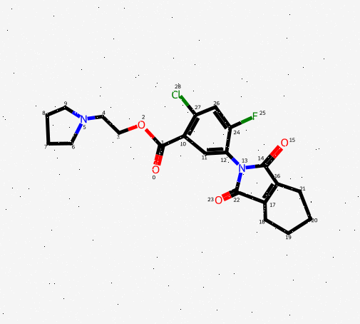 O=C(OCCN1CCCC1)c1cc(N2C(=O)C3=C(CCCC3)C2=O)c(F)cc1Cl